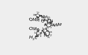 CNc1cc(-c2cn([C@H]3CN(C)C[C@@H]3OC)c3ncccc23)nc2c(C(=O)N[C@H]3CC[C@@H]3OC)cnn12